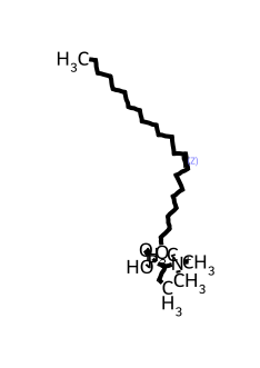 CCCCCCCCCCCCC/C=C\CCCCCCCOP(=O)(O)C(CC)[N+](C)(C)C